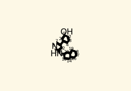 Oc1cccc(-c2cncc(Nc3ccc4ccccc4c3)c2)c1